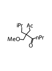 CCCC(=O)C(COC)(CC(C)=O)CC(C)C